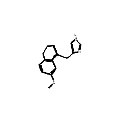 COc1ccc2c(c1)C(Cc1c[nH]cn1)CCC2